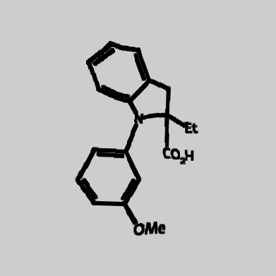 CCC1(C(=O)O)Cc2ccccc2N1c1cccc(OC)c1